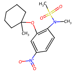 CN(c1ccc([N+](=O)[O-])cc1OC1(C)CCCCC1)S(C)(=O)=O